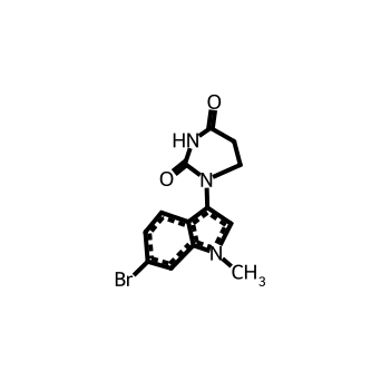 Cn1cc(N2CCC(=O)NC2=O)c2ccc(Br)cc21